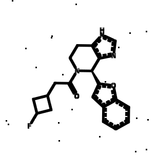 O=C(CC1CC(F)C1)N1CCc2[nH]cnc2[C@H]1c1cc2ccccc2o1